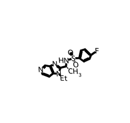 CCn1c([C@@H](C)NS(=O)(=O)c2ccc(F)cc2)nc2cnccc21